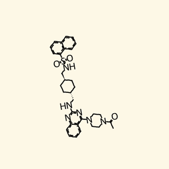 CC(=O)N1CCN(c2nc(NC[C@H]3CC[C@H](CNS(=O)(=O)c4cccc5ccccc45)CC3)nc3ccccc23)CC1